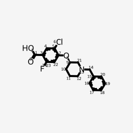 O=C(O)c1cc(Cl)c(O[C@@H]2CCCN(Cc3ccccc3)C2)cc1F